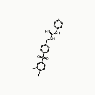 Cc1cc(S(=O)(=O)c2ccc(CNC(=N)Nc3ccncc3)cc2)ccc1F